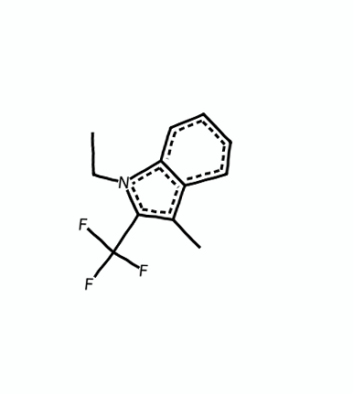 CCn1c(C(F)(F)F)c(C)c2ccccc21